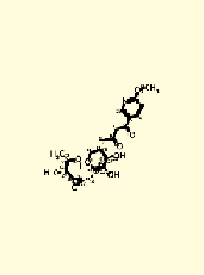 COc1ccc(C(=O)CC(=O)C[C@H]2CO[C@@H](C[C@@H]3O[C@H]3[C@@H](C)[C@H](C)O)[C@H](O)[C@@H]2O)cn1